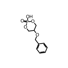 O=P1(O)OCC(OCc2ccccc2)CO1